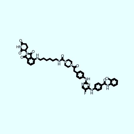 O=C1CCC(N2C(=O)c3cccc(NCCCCCCNC(=O)N4CCN(C(=O)Cc5ccc(Nc6ncc(F)c(Nc7ccc(C(=O)Nc8ccccc8Cl)cc7)n6)cc5)CC4)c3C2=O)C(=O)N1